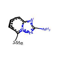 CSc1cccc2nc(N)nn12